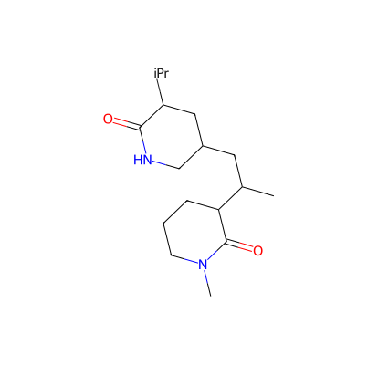 CC(C)C1CC(CC(C)C2CCCN(C)C2=O)CNC1=O